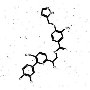 COc1cc(C(=O)NCC(c2ccc(OC)c(-c3ccc(F)c(Cl)c3)n2)C(F)(F)F)ccc1OCc1ccn[nH]1